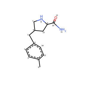 Cc1ccc(CC2CNC(C(N)=O)C2)cc1